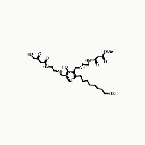 CCCCCCCCCCCCCCCCCCc1ccc(CNCCNC(=O)CC(=O)CO)c(O)c1CNCCNC(=O)CC(=O)OC